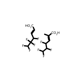 CC(=CC(F)C(F)C(F)F)C(=O)O.O=C(O)C=CC(F)C(F)(F)C(F)F